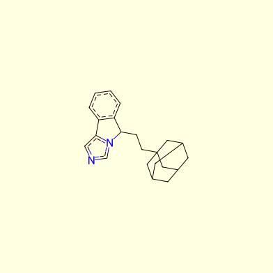 c1ccc2c(c1)-c1cncn1C2CCC12CC3CC(CC(C3)C1)C2